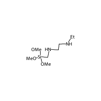 CCNCCNC[Si](OC)(OC)OC